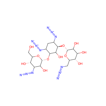 [N-]=[N+]=NCC1O[C@H](O[C@@H]2C(N=[N+]=[N-])CC(N=[N+]=[N-])C(O[C@H]3OC(CO)[C@@H](O)C(N=[N+]=[N-])C3O)C2O)C(O)C(O)[C@@H]1O